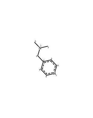 CN(C)Cc1c[c]ncc1